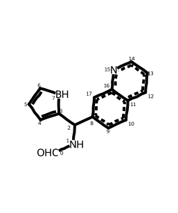 O=CNC(C1=CC=CB1)c1ccc2cccnc2c1